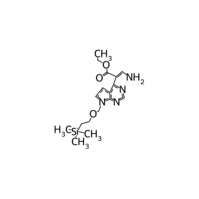 CCOC(=O)/C(=C/N)c1ncnc2c1ccn2COCC[Si](C)(C)C